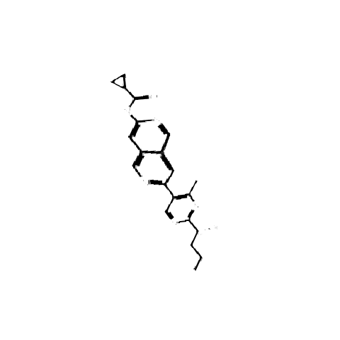 CCC[C@@H](O)c1ncc(-c2cc3cnc(NC(=O)C4CC4)cc3cn2)c(C)n1